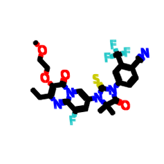 CCc1nc2c(F)cc(N3C(=S)N(c4ccc(C#N)c(C(F)(F)F)c4)C(=O)C3(C)C)cn2c(=O)c1OCCOC